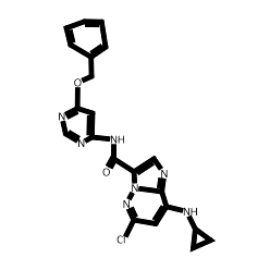 O=C(Nc1cc(OCc2ccccc2)ncn1)c1cnc2c(NC3CC3)cc(Cl)nn12